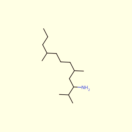 CCCC(C)CCCC(C)CC(N)C(C)C